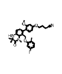 COc1cc(OCCCC#N)ccc1-c1ccc2c(c1COc1cc(F)ccc1C)N(C)C(=O)C(C)(C)N2